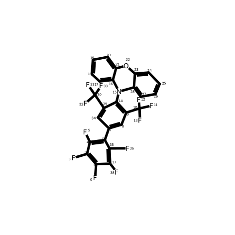 Fc1c(F)c(F)c(-c2cc(C(F)(F)F)c(N3c4ccccc4Oc4ccccc43)c(C(F)(F)F)c2)c(F)c1F